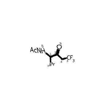 CC(=O)NC(C(=O)CC(F)(F)F)C(C)C